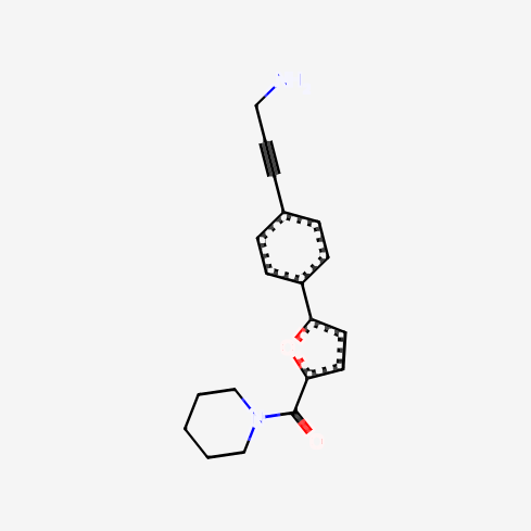 NCC#Cc1ccc(-c2ccc(C(=O)N3CCCCC3)o2)cc1